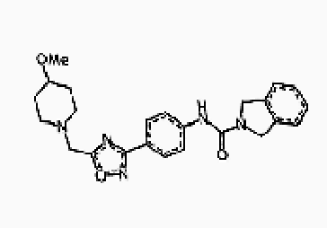 COC1CCN(Cc2nc(-c3ccc(NC(=O)N4Cc5ccccc5C4)cc3)no2)CC1